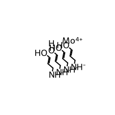 [Mo+4].[NH-]CC=CO.[NH-]CC=CO.[NH-]CC=CO.[NH-]CC=CO